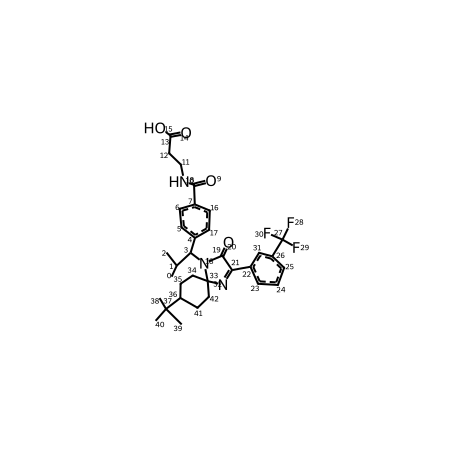 CC(C)C(c1ccc(C(=O)NCCC(=O)O)cc1)N1C(=O)C(c2cccc(C(F)(F)F)c2)=NC12CCC(C(C)(C)C)CC2